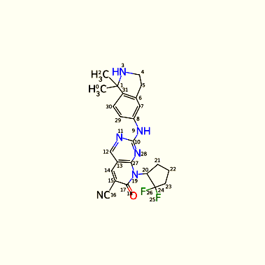 CC1(C)NCCc2cc(Nc3ncc4cc(C#N)c(=O)n(C5CCCC5(F)F)c4n3)ccc21